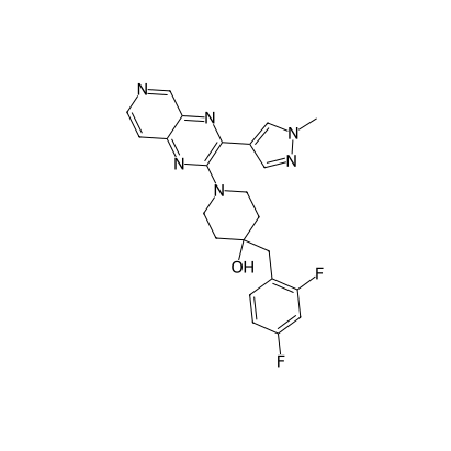 Cn1cc(-c2nc3cnccc3nc2N2CCC(O)(Cc3ccc(F)cc3F)CC2)cn1